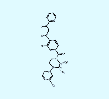 C[C@H]1[C@H](C)N(c2cccc(Cl)c2)CCN1C(=O)c1ccc([S+]([O-])CC(=O)c2ncccn2)c(Cl)c1